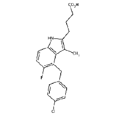 Cc1c(CCCC(=O)O)[nH]c2ccc(F)c(Cc3ccc(Cl)cc3)c12